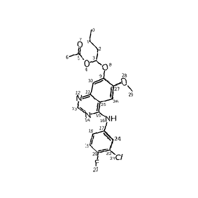 CCCC(OC(C)=O)Oc1cc2ncnc(Nc3ccc(F)c(Cl)c3)c2cc1OC